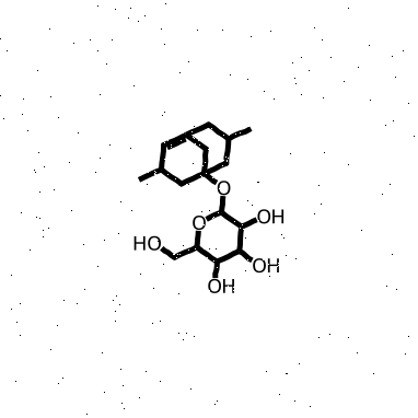 CC1C=C2CC(C)CC(OC3OC(CO)C(O)C(O)C3O)(C2)C1